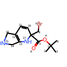 CC(C)(C)OC(=O)C1(CBr)C=CC2=C(CNC2)N1